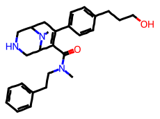 CN(CCc1ccccc1)C(=O)C1=C(c2ccc(CCCO)cc2)CC2CNCC1N2C